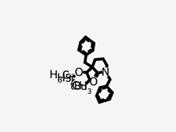 C[SiH](C)OC(CC(C)(C)C)C1(Cc2ccccc2)CCCN(Cc2ccccc2)C1=O